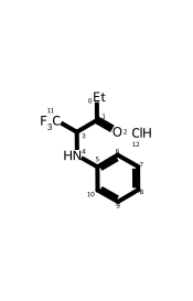 CCC(=O)C(Nc1ccccc1)C(F)(F)F.Cl